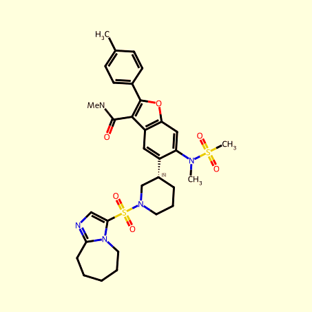 CNC(=O)c1c(-c2ccc(C)cc2)oc2cc(N(C)S(C)(=O)=O)c([C@@H]3CCCN(S(=O)(=O)c4cnc5n4CCCCC5)C3)cc12